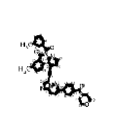 Cc1cccc(C(=O)N(C(=O)c2cccc(C)c2)c2cc(C#Cc3cnc4ccc(-c5ccc(C(=O)N6CCOCC6)cc5)nn34)ccn2)c1